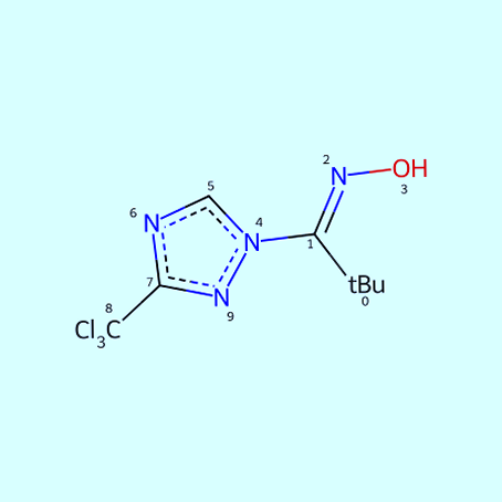 CC(C)(C)C(=NO)n1cnc(C(Cl)(Cl)Cl)n1